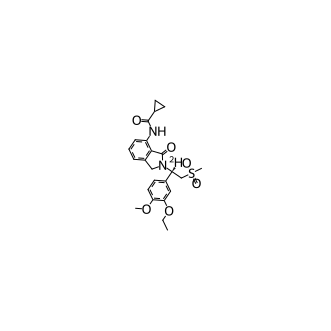 [2H][C@@](CS(C)(=O)=O)(c1ccc(OC)c(OCC)c1)N1Cc2cccc(NC(=O)C3CC3)c2C1=O